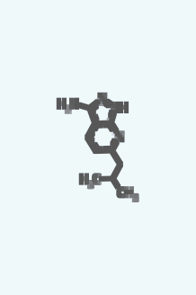 CC(C)Cc1ccc2c(N)n[nH]c2n1